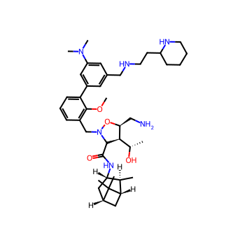 COc1c(CN2O[C@@H](CN)[C@@H]([C@H](C)O)C2C(=O)N[C@H]2C[C@H]3C[C@@H]([C@@H]2C)C3(C)C)cccc1-c1cc(CNCCC2CCCCN2)cc(N(C)C)c1